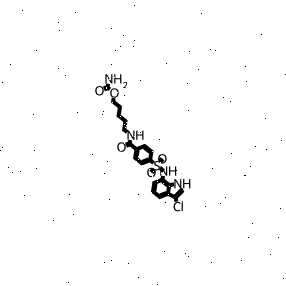 NC(=O)OCCCCCNC(=O)c1ccc(S(=O)(=O)Nc2cccc3c(Cl)c[nH]c23)cc1